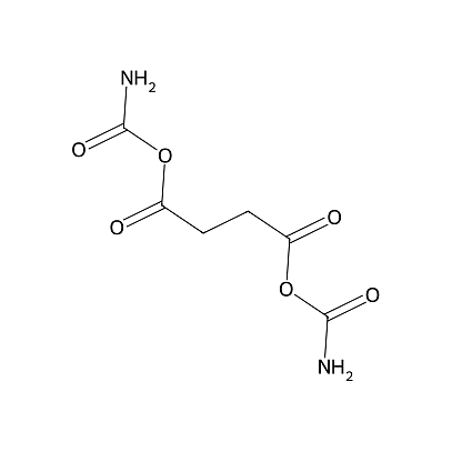 NC(=O)OC(=O)CCC(=O)OC(N)=O